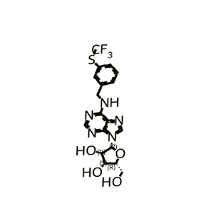 OC[C@H]1O[C@@H](n2cnc3c(NCc4cccc(SC(F)(F)F)c4)ncnc32)[C@H](O)[C@@H]1O